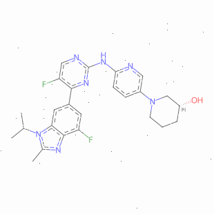 Cc1nc2c(F)cc(-c3nc(Nc4ccc(N5CCC[C@@H](O)C5)cn4)ncc3F)cc2n1C(C)C